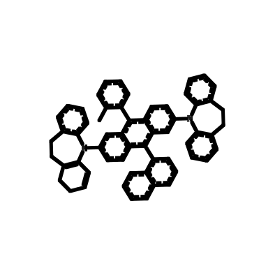 Cc1ccccc1-c1c2cc(N3C4=C(CCC=C4)CCc4ccccc43)ccc2c(-c2cccc3ccccc23)c2cc(N3c4ccccc4CCc4ccccc43)ccc12